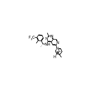 Cc1nc(N[C@H](C)c2cccc(C(F)(F)F)c2C)c2cc(N3C[C@H]4CCC3CN4C)ncc2n1